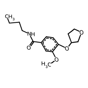 CCCCNC(=O)c1ccc(OC2CCOC2)c(OC)c1